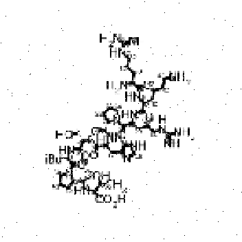 CC[C@H](C)[C@H](NC(=O)[C@H](CO)NC(=O)[C@H](Cc1c[nH]cn1)NC(=O)[C@@H]1CCCN1C(=O)[C@H](CCCNC(=N)N)NC(=O)[C@H](CCCCN)NC(=O)[C@@H](N)CCCNC(=N)N)C(=O)N1CCC[C@H]1C(=O)N[C@H](C(=O)O)[C@@H](C)O